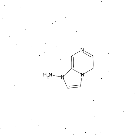 NN1C=CN2CC=NC=C12